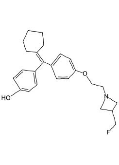 Oc1ccc(C(=C2CCCCC2)c2ccc(OCCN3CC(CF)C3)cc2)cc1